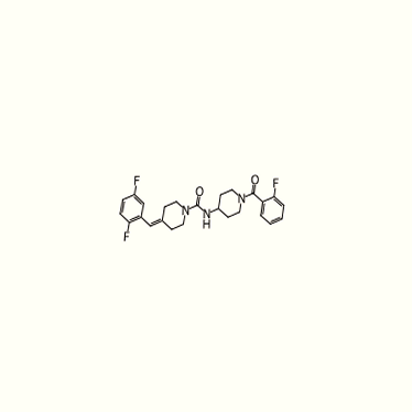 O=C(NC1CCN(C(=O)c2ccccc2F)CC1)N1CCC(=Cc2cc(F)ccc2F)CC1